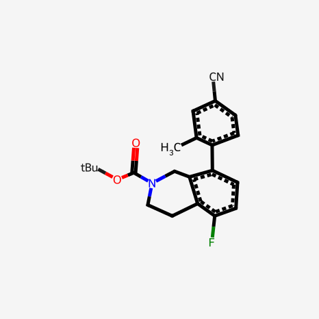 Cc1cc(C#N)ccc1-c1ccc(F)c2c1CN(C(=O)OC(C)(C)C)CC2